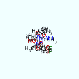 CNCC(=O)NN(C(=O)CC(C)(C)C)[C@@H](Cc1ccccc1)[C@H](O)CN(CC(C)C)S(=O)(=O)c1ccc2c(c1)OC(F)(F)O2